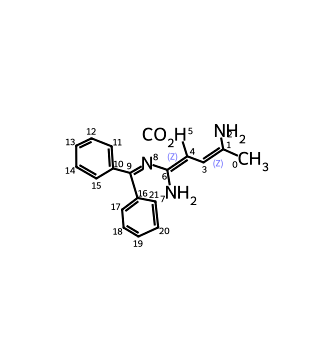 C/C(N)=C/C(C(=O)O)=C(\N)N=C(c1ccccc1)c1ccccc1